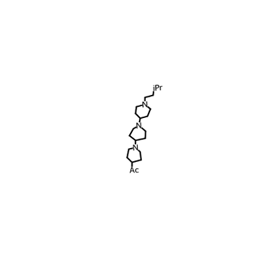 CC(=O)C1CCN(C2CCN(C3CCN(CCC(C)C)CC3)CC2)CC1